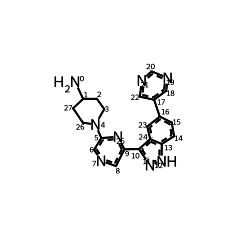 NC1CCN(c2cncc(-c3n[nH]c4ccc(-c5cncnc5)cc34)n2)CC1